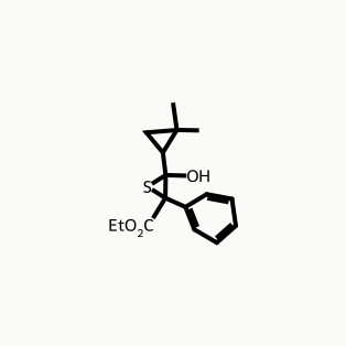 CCOC(=O)C1(c2ccccc2)SC1(O)C1CC1(C)C